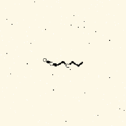 CCCOCC=C=O